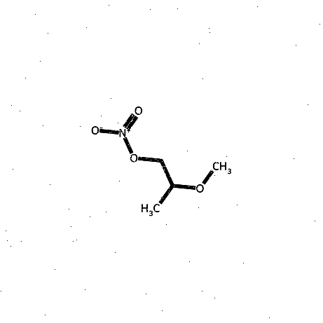 COC(C)CO[N+](=O)[O-]